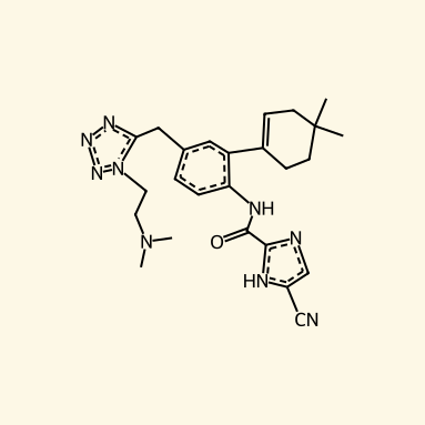 CN(C)CCn1nnnc1Cc1ccc(NC(=O)c2ncc(C#N)[nH]2)c(C2=CCC(C)(C)CC2)c1